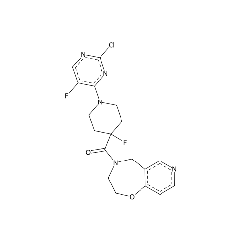 O=C(N1CCOc2ccncc2C1)C1(F)CCN(c2nc(Cl)ncc2F)CC1